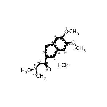 COc1cc2ccc(C(=O)CN(C)C)cc2cc1OC.Cl